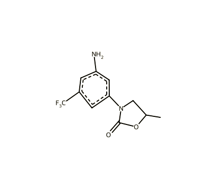 CC1CN(c2cc(N)cc(C(F)(F)F)c2)C(=O)O1